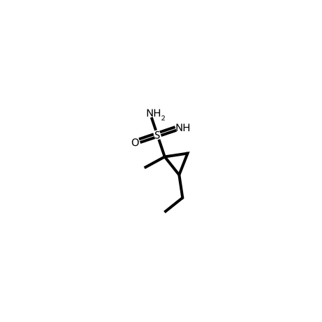 CCC1CC1(C)S(=N)(N)=O